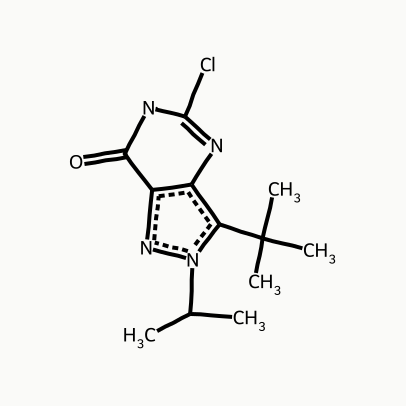 CC(C)n1nc2c(c1C(C)(C)C)N=C(Cl)[N]C2=O